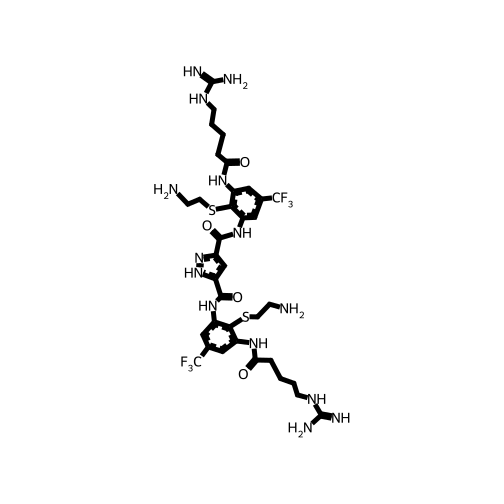 N=C(N)NCCCCC(=O)Nc1cc(C(F)(F)F)cc(NC(=O)c2cc(C(=O)Nc3cc(C(F)(F)F)cc(NC(=O)CCCCNC(=N)N)c3SCCN)[nH]n2)c1SCCN